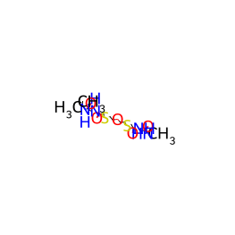 CNC(=O)CNC(=O)CSCCOCCSCC(=O)NCC(=O)NC(C)C